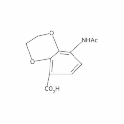 CC(=O)Nc1ccc(C(=O)O)c2c1OCCO2